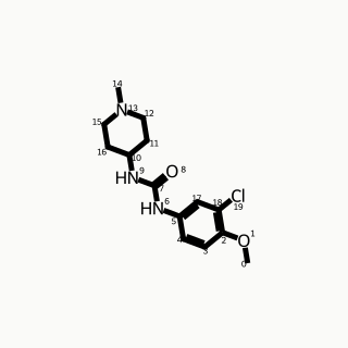 COc1ccc(NC(=O)NC2CCN(C)CC2)cc1Cl